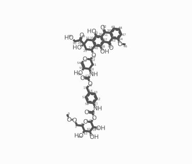 COOCC1OC(OC(=O)Nc2ccc(COC(=O)NC3CC(OC4C[C@](O)(C(=O)CO)Cc5c(O)c6c(c(O)c54)C(=O)c4c(OC)cccc4C6=O)OC=C3O)cc2)C(O)C(O)C1O